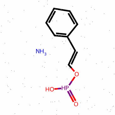 N.O=[PH](O)OC=Cc1ccccc1